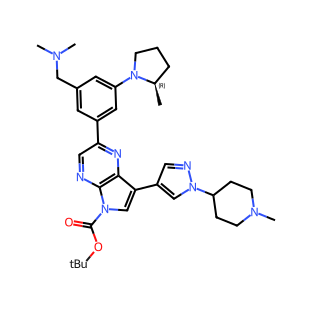 C[C@@H]1CCCN1c1cc(CN(C)C)cc(-c2cnc3c(n2)c(-c2cnn(C4CCN(C)CC4)c2)cn3C(=O)OC(C)(C)C)c1